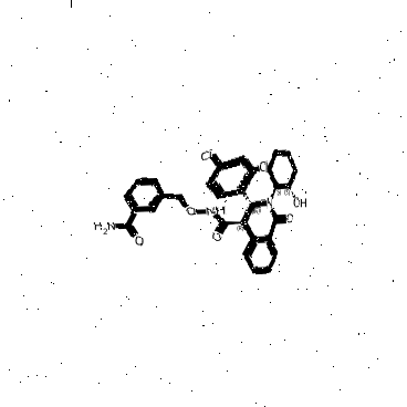 NC(=O)c1cccc(CONC(=O)[C@@H]2c3ccccc3C(=O)N([C@H]3CCCC[C@@H]3O)[C@H]2c2ccc(Cl)cc2Cl)c1